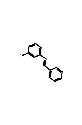 Clc1cccc(/N=C/c2ccccc2)c1